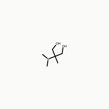 CN(C)C(C)(CO)CO